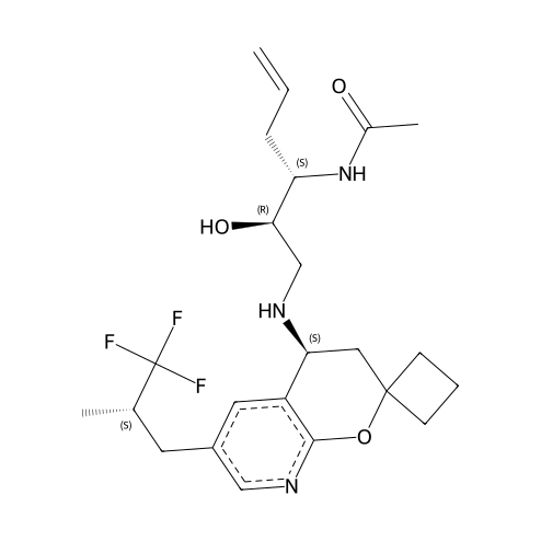 C=CC[C@H](NC(C)=O)[C@H](O)CN[C@H]1CC2(CCC2)Oc2ncc(C[C@H](C)C(F)(F)F)cc21